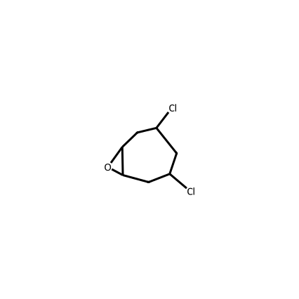 ClC1CC(Cl)CC2OC2C1